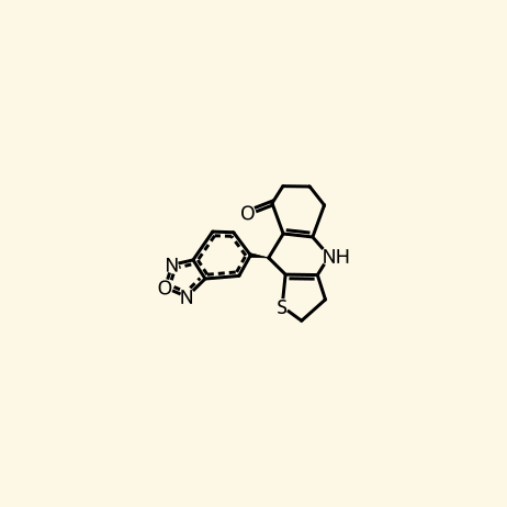 O=C1CCCC2=C1[C@H](c1ccc3nonc3c1)C1=C(CCS1)N2